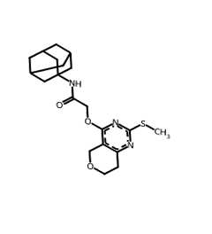 CSc1nc2c(c(OCC(=O)NC34CC5CC(CC(C5)C3)C4)n1)COCC2